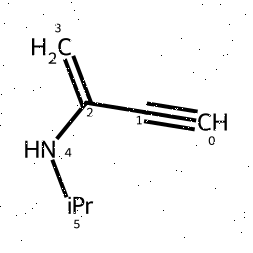 C#CC(=C)NC(C)C